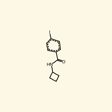 O=C(NC1CCC1)c1ccc(I)cc1